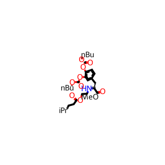 CCCCOC(=O)Oc1ccc(C[C@H](NCCOC(=O)CCC(C)C)C(=O)OC)cc1OC(=O)OCCCC